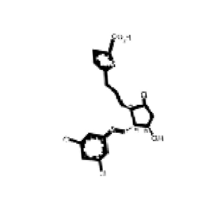 O=C(O)c1ccc(CCC[C@H]2C(Cl)C[C@@H](O)[C@@H]2CSc2cc(Cl)cc(Cl)c2)s1